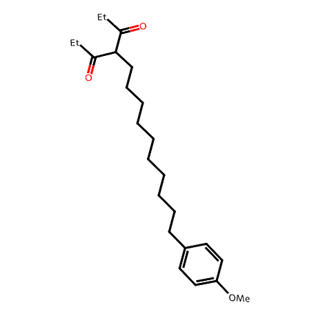 CCC(=O)C(CCCCCCCCCCc1ccc(OC)cc1)C(=O)CC